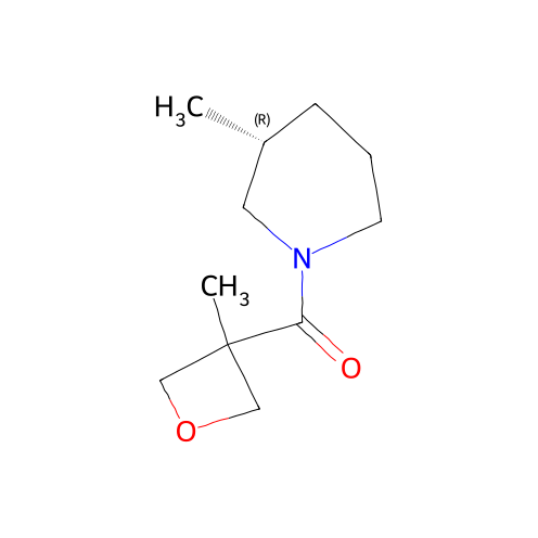 C[C@@H]1CCCN(C(=O)C2(C)COC2)C1